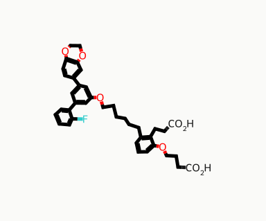 O=C(O)CCCOc1cccc(CCCCCCOc2cc(-c3ccc4c(c3)OCCO4)cc(-c3ccccc3F)c2)c1CCC(=O)O